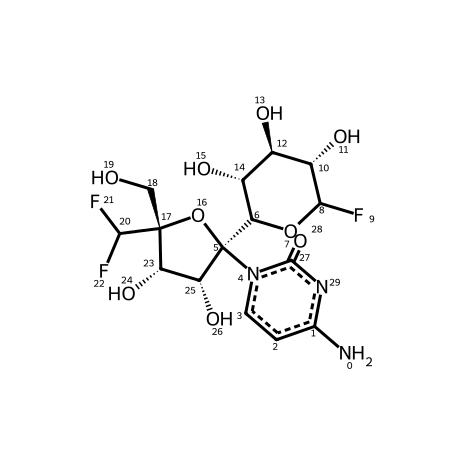 Nc1ccn([C@]2(C3OC(F)[C@@H](O)[C@H](O)[C@H]3O)O[C@@](CO)(C(F)F)[C@@H](O)[C@H]2O)c(=O)n1